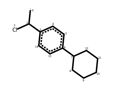 [CH2]C(Cl)c1ccc(C2CCCCC2)cc1